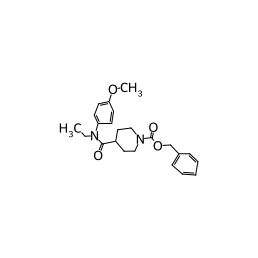 CCN(C(=O)C1CCN(C(=O)OCc2ccccc2)CC1)c1ccc(OC)cc1